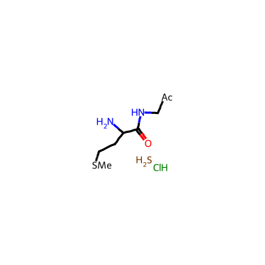 CSCCC(N)C(=O)NCC(C)=O.Cl.S